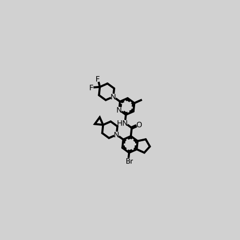 Cc1cc(NC(=O)c2c(N3CCC4(CC3)CC4)cc(Br)c3c2CCC3)nc(N2CCC(F)(F)CC2)c1